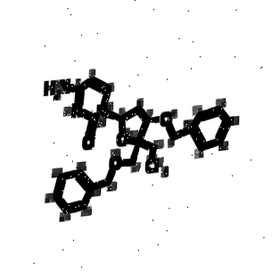 Nc1ccn([C@H]2C[C@H](OCc3ccccc3)[C@](COCc3ccccc3)(CC(F)(F)F)O2)c(=O)n1